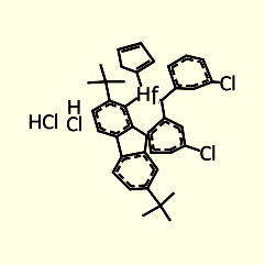 CC(C)(C)c1ccc2c(c1)Cc1c-2ccc(C(C)(C)C)[c]1[Hf]([C]1=CC=CC1)=[C](c1cccc(Cl)c1)c1cccc(Cl)c1.Cl.Cl